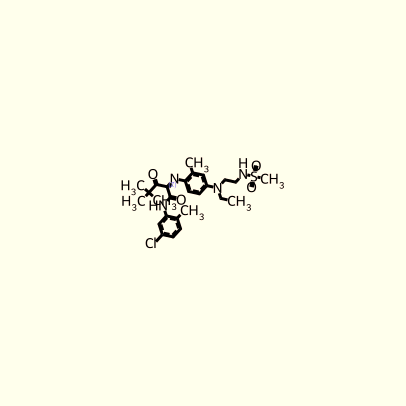 CCN(CCNS(C)(=O)=O)c1ccc(/N=C(\C(=O)Nc2cc(Cl)ccc2C)C(=O)C(C)(C)C)c(C)c1